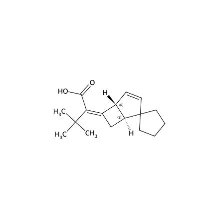 CC(C)(C)C(C(=O)O)=C1C[C@H]2[C@H]1C=CC21CCCC1